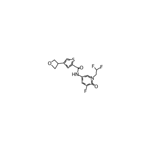 O=C(Nc1cc(F)c(=O)n(CC(F)F)c1)c1cc(C2COC2)cs1